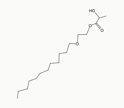 CCCCCCCCCCCCOCCOC(=O)C(C)O